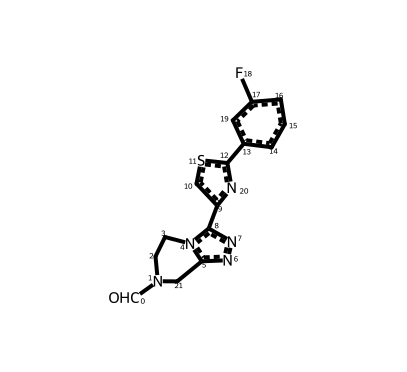 O=CN1CCn2c(nnc2-c2csc(-c3cccc(F)c3)n2)C1